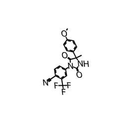 COc1ccc(C2(C)NC(=O)N(c3ccc(C#N)c(C(F)(F)F)c3)C2=O)cc1